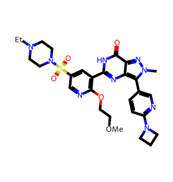 CCN1CCN(S(=O)(=O)c2cnc(OCCOC)c(-c3nc4c(-c5ccc(N6CCC6)nc5)n(C)nc4c(=O)[nH]3)c2)CC1